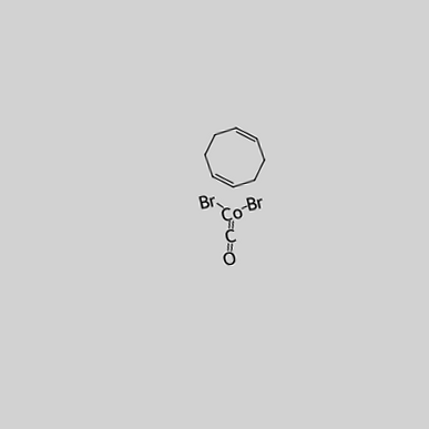 C1=CCCC=CCC1.O=[C]=[Co]([Br])[Br]